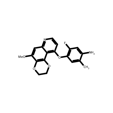 COc1cc2nccc(Oc3cc(C)c(N)cc3F)c2c2c1OCCO2